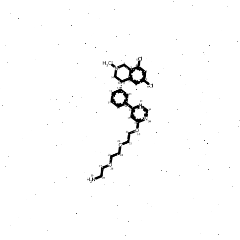 CN1Cc2c(Cl)cc(Cl)cc2[C@H](c2cccc(-c3cc(OCCOCCOCCN)ncn3)c2)C1